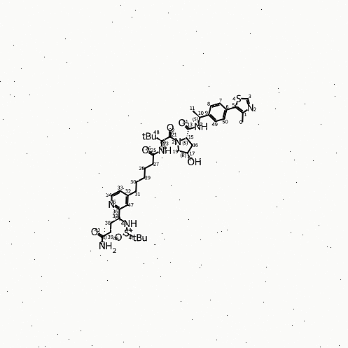 Cc1ncsc1-c1ccc([C@H](C)NC(=O)[C@@H]2C[C@@H](O)CN2C(=O)[C@@H](NC(=O)CCCCCc2ccnc([C@H](CCC(N)=O)N[S+]([O-])C(C)(C)C)c2)C(C)(C)C)cc1